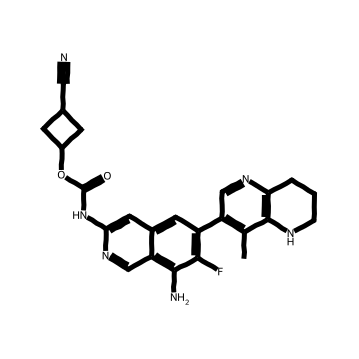 Cc1c(-c2cc3cc(NC(=O)OC4CC(C#N)C4)ncc3c(N)c2F)cnc2c1NCCC2